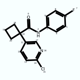 O=C(Nc1ccc(F)cc1)C1(c2ccc(Cl)nc2)CCC1